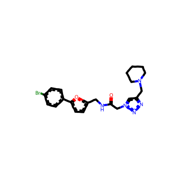 O=C(Cn1cc(CN2CCCCC2)nn1)NCc1ccc(-c2ccc(Br)cc2)o1